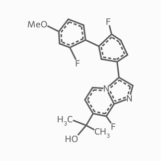 COc1ccc(-c2cc(-c3cnc4c(F)c(C(C)(C)O)ccn34)ccc2F)c(F)c1